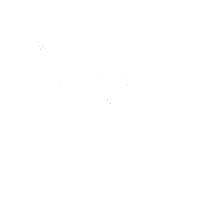 COC(=O)/C=C/c1ccc2c(c1)CCC2N(CCc1cc(C(F)(F)F)cc(C(F)(F)F)c1)C(=O)OC(C)(C)C